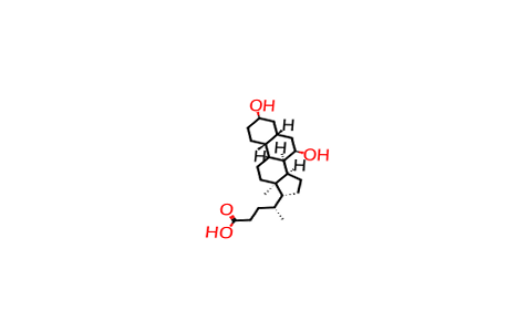 C[C@H](CCC(=O)O)[C@H]1CC[C@@H]2[C@@H]3[C@H](O)C[C@H]4C[C@H](O)CC[C@@]4(C)[C@@H]3CC[C@@]21C